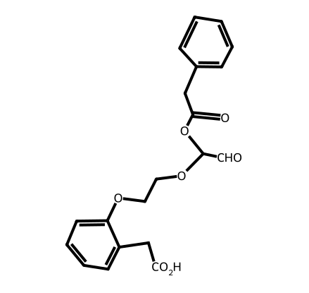 O=CC(OCCOc1ccccc1CC(=O)O)OC(=O)Cc1ccccc1